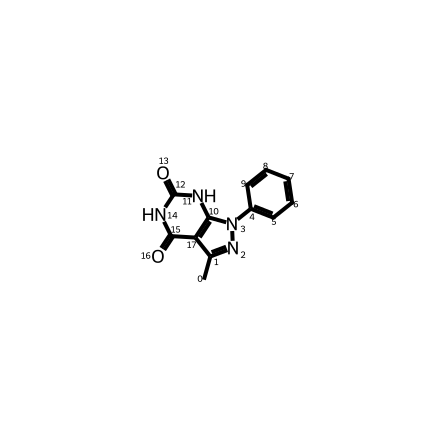 Cc1nn(-c2ccccc2)c2[nH]c(=O)[nH]c(=O)c12